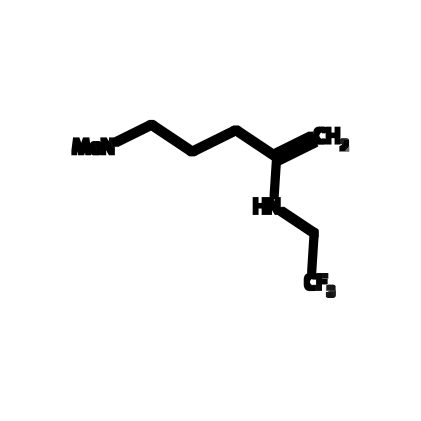 C=C(CCCNC)NCC(F)(F)F